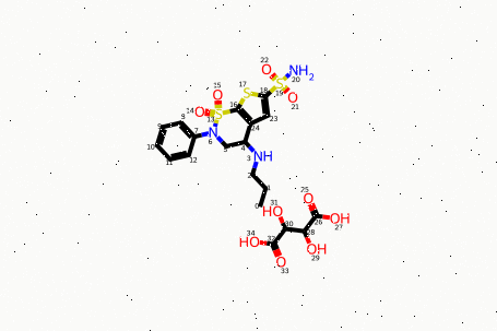 CCCNC1CN(c2ccccc2)S(=O)(=O)c2sc(S(N)(=O)=O)cc21.O=C(O)C(O)C(O)C(=O)O